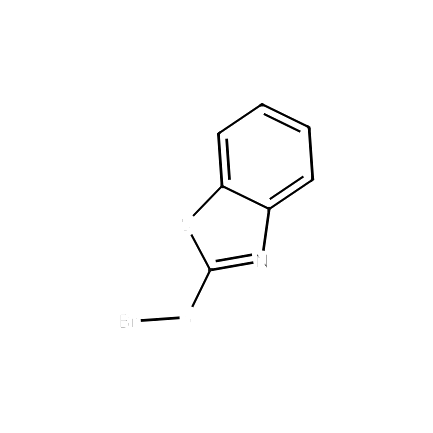 BrSc1nc2ccccc2s1